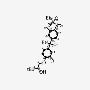 CCC(CC)(c1ccc(OCC(O)C(C)(C)C)c(C)c1)c1ccc(N(C)S(=O)(=O)CC)c(C)c1